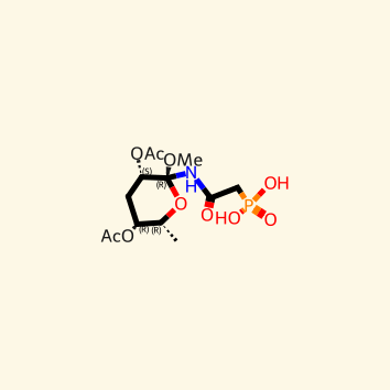 CO[C@@]1(NC(=O)CP(=O)(O)O)O[C@H](C)[C@H](OC(C)=O)C[C@@H]1OC(C)=O